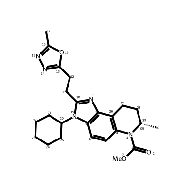 COC(=O)N1c2ccc3c(nc(CCc4nnc(C)o4)n3C3CCCCC3)c2CC[C@@H]1C